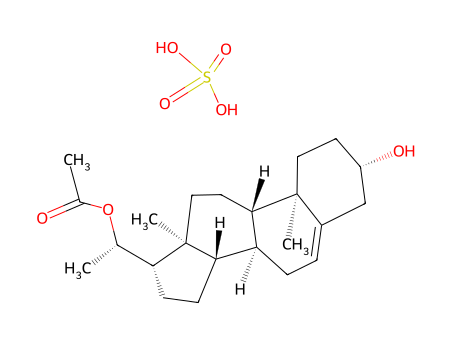 CC(=O)O[C@@H](C)[C@H]1CC[C@H]2[C@@H]3CC=C4C[C@@H](O)CC[C@]4(C)[C@H]3CC[C@]12C.O=S(=O)(O)O